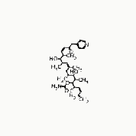 C=C/C=C\C(C)C(OC(N)=O)C(C)C(O)C(C)C/C(C)=C\C(C)C(O)C(C)/C=C\C(=O)Cc1ccncc1